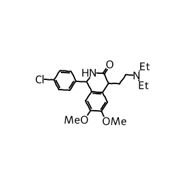 CCN(CC)CCC1C(=O)NC(c2ccc(Cl)cc2)c2cc(OC)c(OC)cc21